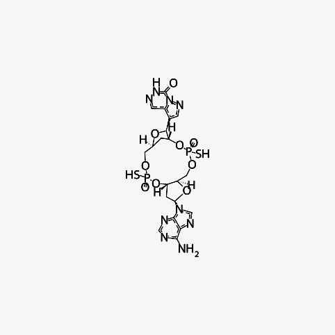 Nc1ncnc2c1ncn2[C@H]1C[C@@H]2OP(=O)(S)OC[C@@H]3C[C@@H](OP(=O)(S)OC[C@H]2O1)[C@H](c1cnn2c(=O)[nH]ncc12)O3